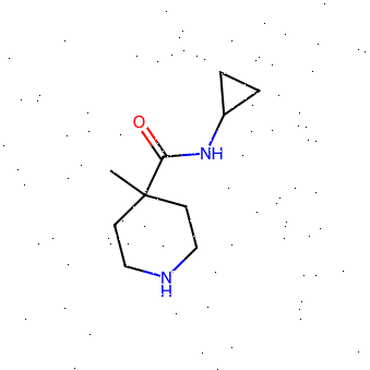 CC1(C(=O)NC2CC2)CCNCC1